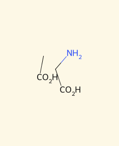 CC(=O)O.NCC(=O)O